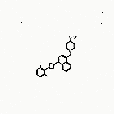 O=C(O)C1CCN(Cc2ccc(C3CN(c4c(Cl)cccc4Cl)C3)c3ccccc23)CC1